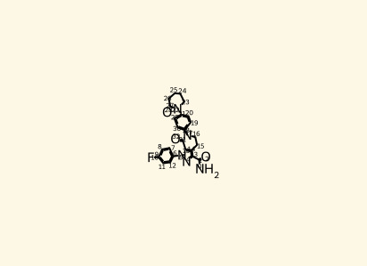 NC(=O)c1nn(-c2ccc(F)cc2)c2c1CCN(c1ccc(N3CCCCC3=O)cc1)C2=O